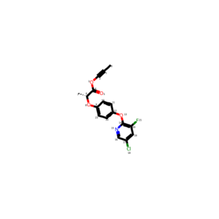 CC#COC(=O)[C@@H](C)Oc1ccc(Oc2ncc(Cl)cc2F)cc1